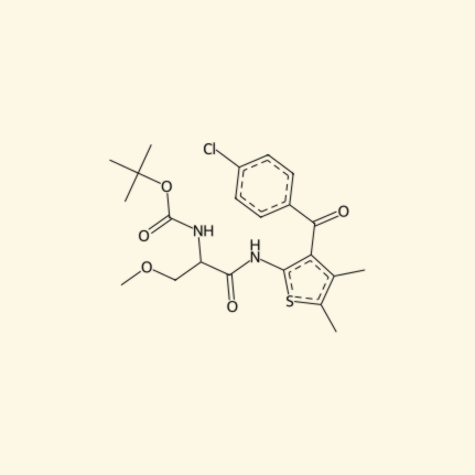 COCC(NC(=O)OC(C)(C)C)C(=O)Nc1sc(C)c(C)c1C(=O)c1ccc(Cl)cc1